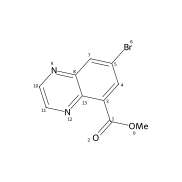 COC(=O)c1cc(Br)cc2nccnc12